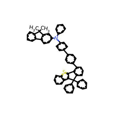 CC1(C)c2ccccc2-c2ccc(N(c3ccccc3)c3ccc(-c4ccc(-c5cccc6c5-c5sc7ccccc7c5C6(c5ccccc5)c5ccccc5)cc4)cc3)cc21